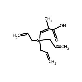 C=CC[Si](C=C(C)C(=O)O)(CC=C)CC=C